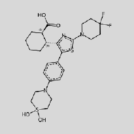 O=C(O)[C@@H]1CCCC[C@H]1c1nc(N2CCC(F)(F)CC2)sc1-c1ccc(N2CCS(O)(O)CC2)cc1